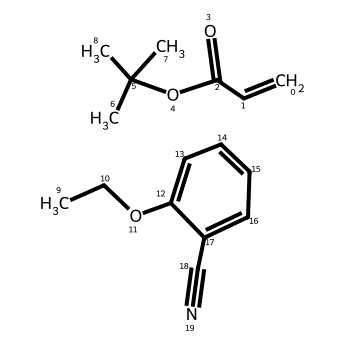 C=CC(=O)OC(C)(C)C.CCOc1ccccc1C#N